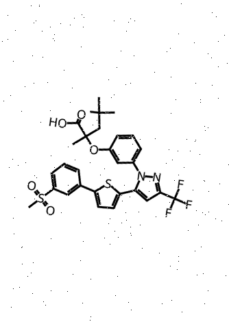 CC(C)(C)CC(C)(Oc1cccc(-n2nc(C(F)(F)F)cc2-c2ccc(-c3cccc(S(C)(=O)=O)c3)s2)c1)C(=O)O